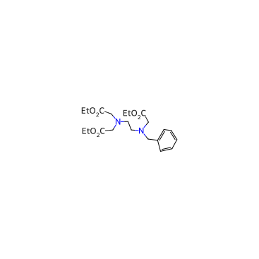 CCOC(=O)CN(CCN(CC(=O)OCC)Cc1ccccc1)CC(=O)OCC